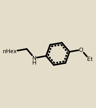 CCCCCCCNc1ccc(OCC)cc1